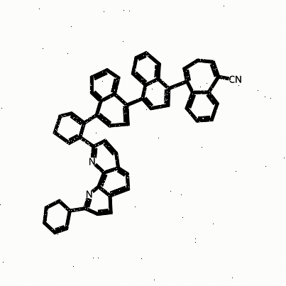 N#CC1=CCC=C(c2ccc(-c3ccc(C4=CCCC=C4c4ccc5ccc6ccc(C7C=CCCC7)nc6c5n4)c4ccccc34)c3ccccc23)c2ccccc21